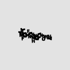 Cc1nc2c(F)cc(-c3nc(Nc4ccc5c(n4)CCN(CC(=O)NCC4CC4)C5)ncc3F)cc2n1C(C)C